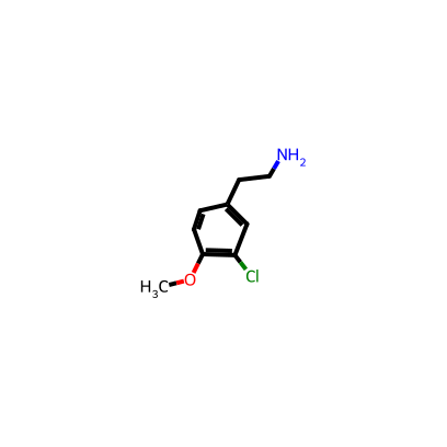 COc1ccc(CCN)cc1Cl